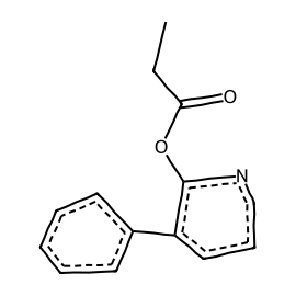 CCC(=O)Oc1ncccc1-c1ccccc1